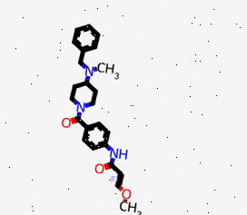 CO/C=C/C(=O)Nc1ccc(C(=O)N2CCC(N(C)Cc3ccccc3)CC2)cc1